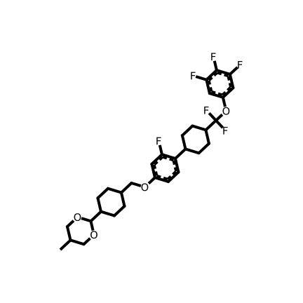 CC1COC(C2CCC(COc3ccc(C4CCC(C(F)(F)Oc5cc(F)c(F)c(F)c5)CC4)c(F)c3)CC2)OC1